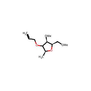 C=CCOC1[C@H](C)O[C@H](COC)[C@@H]1OC